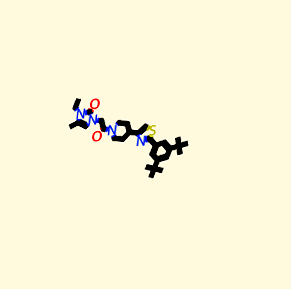 CCn1c(C)cn(CC(=O)N2CCC(c3csc(-c4cc(C(C)(C)C)cc(C(C)(C)C)c4)n3)CC2)c1=O